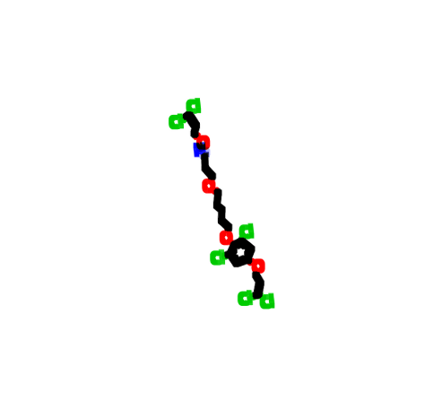 ClC(Cl)=CCO/N=C/CCOCCCCCOc1c(Cl)cc(OCC=C(Cl)Cl)cc1Cl